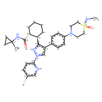 CN=S1(=O)CCN(c2ccc(-c3cn(-c4ccc(F)cn4)nc3[C@@H]3CCCC[C@H]3C(=O)NC3(C#N)CC3)cc2)CC1